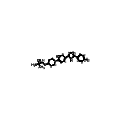 CC(C)(COC1CCN(C2=CC=C(c3nnc(-c4ccc(Cl)cc4)[nH]3)CN2)CC1)C(=O)O